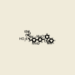 COc1cc(CO[Si](c2ccccc2)(c2ccccc2)C(C)(C)C)cc(OC)c1-c1ccc(C[C@H](NC(=O)OC(C)(C)C)C(=O)O)cc1